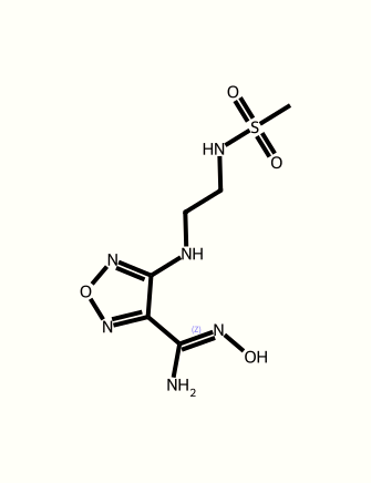 CS(=O)(=O)NCCNc1nonc1/C(N)=N/O